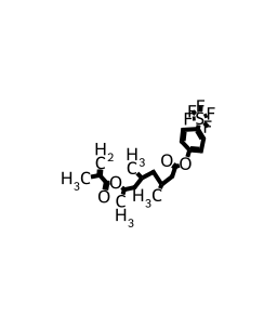 C=C(C)C(=O)OC(C)CC(C)CC(C)CC(=O)Oc1ccc(S(F)(F)(F)(F)F)cc1